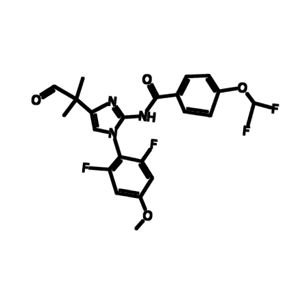 COc1cc(F)c(-n2cc(C(C)(C)C=O)nc2NC(=O)c2ccc(OC(F)F)cc2)c(F)c1